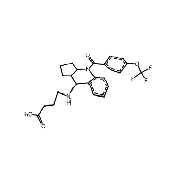 O=C(O)CCCNC1c2ccccc2N(C(=O)c2ccc(OC(F)(F)F)cc2)C2CCCC12